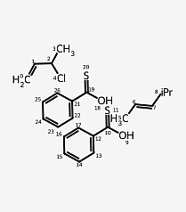 C=CC(C)Cl.CC=CC(C)C.OC(=S)c1ccccc1.OC(=S)c1ccccc1